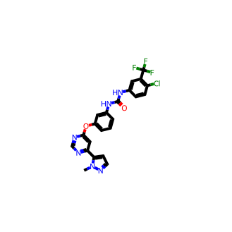 Cn1nccc1-c1cc(Oc2cccc(NC(=O)Nc3ccc(Cl)c(C(F)(F)F)c3)c2)ncn1